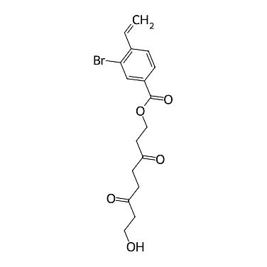 C=Cc1ccc(C(=O)OCCC(=O)CCC(=O)CCO)cc1Br